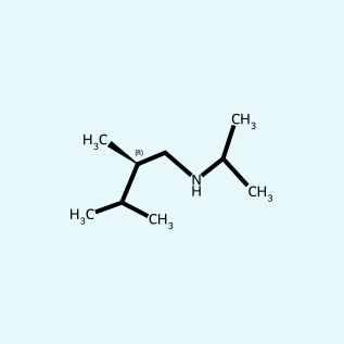 CC(C)NC[C@H](C)C(C)C